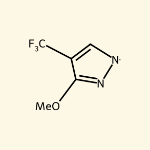 COC1=N[N]C=C1C(F)(F)F